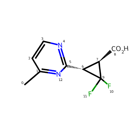 Cc1ccnc([C@@H]2[C@@H](C(=O)O)C2(F)F)n1